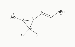 CCCCC=CC1C(C(C)=O)C1(C)C